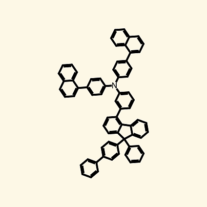 c1ccc(-c2ccc(C3(c4ccccc4)c4ccccc4-c4c(-c5cccc(N(c6ccc(-c7cccc8ccccc78)cc6)c6ccc(-c7cccc8ccccc78)cc6)c5)cccc43)cc2)cc1